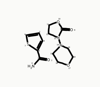 NC(=O)c1cccs1.O=C1OCCN1N1CCOCC1